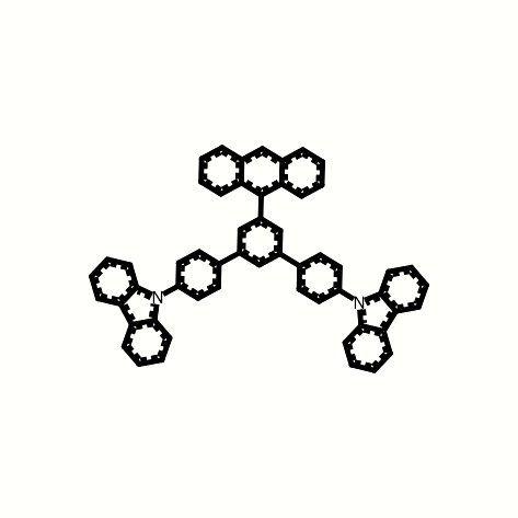 c1ccc2c(-c3cc(-c4ccc(-n5c6ccccc6c6ccccc65)cc4)cc(-c4ccc(-n5c6ccccc6c6ccccc65)cc4)c3)c3ccccc3cc2c1